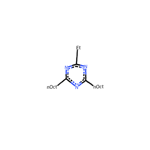 [CH2]Cc1nc(CCCCCCCC)nc(CCCCCCCC)n1